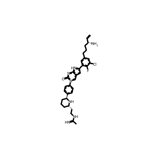 C=C[C@H](N)CCCc1cc(Cl)c(F)c(-c2cc3cn(-c4ccc([C@@H]5CCC[C@@H](CCNC(C)=N)N5)cc4)c(=O)nc3[nH]2)c1